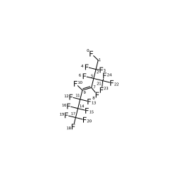 FCC(F)(F)C(F)(C(F)=C(F)C(F)(F)C(F)(F)C(F)(F)F)C(F)(F)F